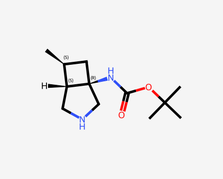 C[C@H]1C[C@]2(NC(=O)OC(C)(C)C)CNC[C@H]12